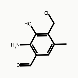 Cc1cc(C=O)c(N)c(O)c1CCl